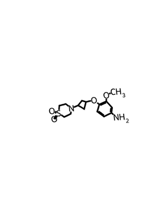 COc1cc(N)ccc1OC1CC(N2CCS(=O)(=O)CC2)C1